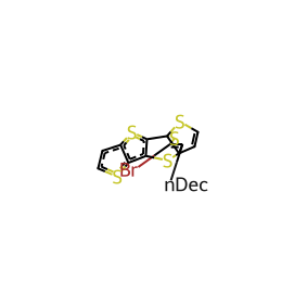 CCCCCCCCCCC1=C(Br)SC23SC=CC12Sc1c3sc2ccsc12